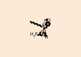 CCCCCCCC[S+]([O-])C(C)Cc1ccc2c(c1)OCO2.O=C1C[C@H]2SCC(CP)=CN12